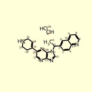 CC(c1ccc2ncccc2c1)n1cnc2ncc(C3=CCNCC3)nc21.Cl.Cl